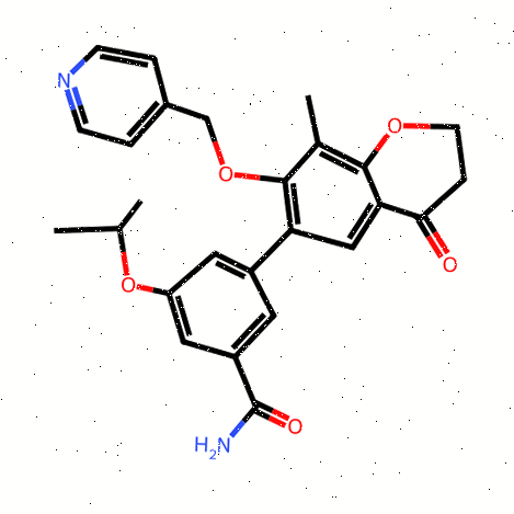 Cc1c2c(cc(-c3cc(OC(C)C)cc(C(N)=O)c3)c1OCc1ccncc1)C(=O)CCO2